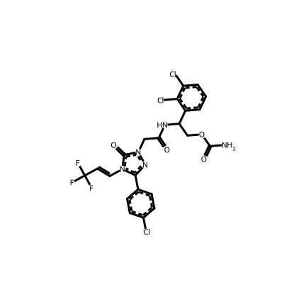 NC(=O)OCC(NC(=O)Cn1nc(-c2ccc(Cl)cc2)n(/C=C/C(F)(F)F)c1=O)c1cccc(Cl)c1Cl